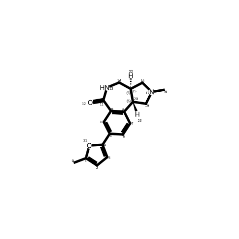 Cc1ccc(-c2ccc3c(c2)C(=O)NC[C@H]2CN(C)C[C@H]32)o1